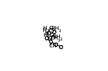 BC(C)(C)c1cccc(C(B)(C)C)c1-c1ccnc(-c2cccc3c2oc2cc(-c4ccc(-c5ccccc5)cc4)c(C#N)cc23)c1